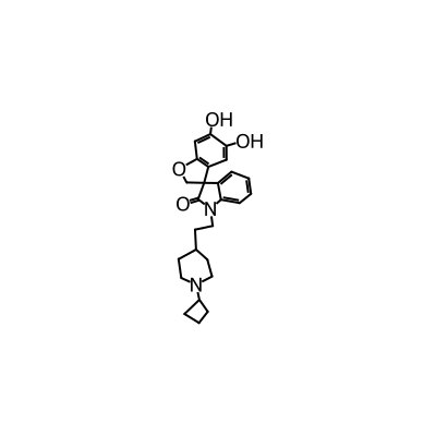 O=C1N(CCC2CCN(C3CCC3)CC2)c2ccccc2C12COc1cc(O)c(O)cc12